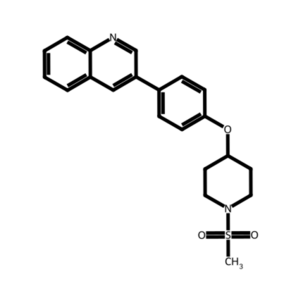 CS(=O)(=O)N1CCC(Oc2ccc(-c3cnc4ccccc4c3)cc2)CC1